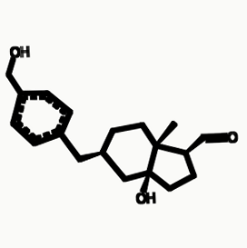 C[C@]12CC[C@H](Cc3ccc(CO)cc3)C[C@@]1(O)CC[C@@H]2C=O